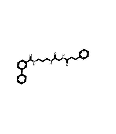 O=C(CCc1ccccc1)NCC(=O)NCCCNC(=O)c1cccc(-c2ccccc2)c1